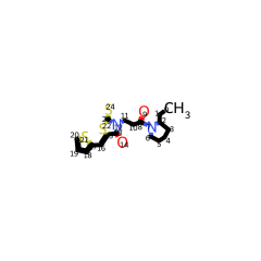 CCC1CCCCN1C(=O)CCN1C(=O)/C(=C/c2cccs2)SC1=S